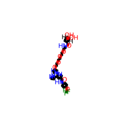 O=C(Nc1ccc(OC(F)(F)F)cc1)c1cnc(N2CC[C@@H](OCCOCCOCCOCCNC(=O)[C@H]3C[C@@H]4C[C@H]3[C@@H](O)[C@H]4O)C2)c(-c2ccn[nH]2)c1